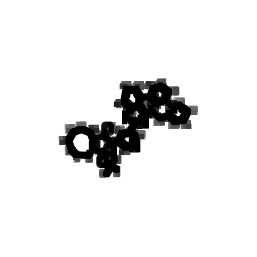 CC(C)(C)OC(=O)N1CCCCCCC[C@H]1C(=O)Nc1cncc(-c2nc(NCc3ccccn3)c3c(-c4ccccc4)cccc3n2)c1